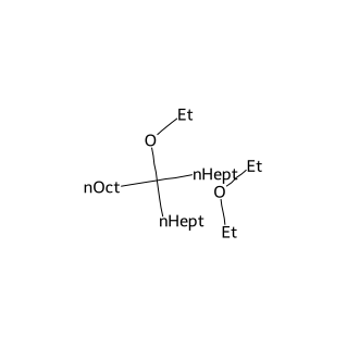 CCCCCCCCC(CCCCCCC)(CCCCCCC)OCC.CCOCC